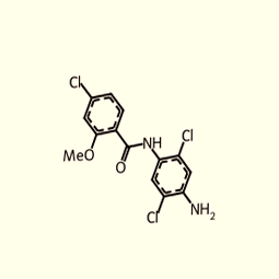 COc1cc(Cl)ccc1C(=O)Nc1cc(Cl)c(N)cc1Cl